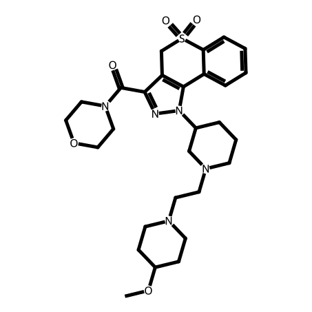 COC1CCN(CCN2CCCC(n3nc(C(=O)N4CCOCC4)c4c3-c3ccccc3S(=O)(=O)C4)C2)CC1